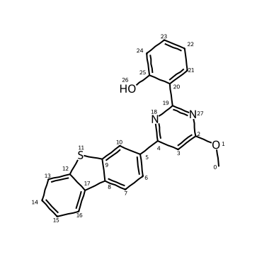 COc1cc(-c2ccc3c(c2)sc2ccccc23)nc(-c2ccccc2O)n1